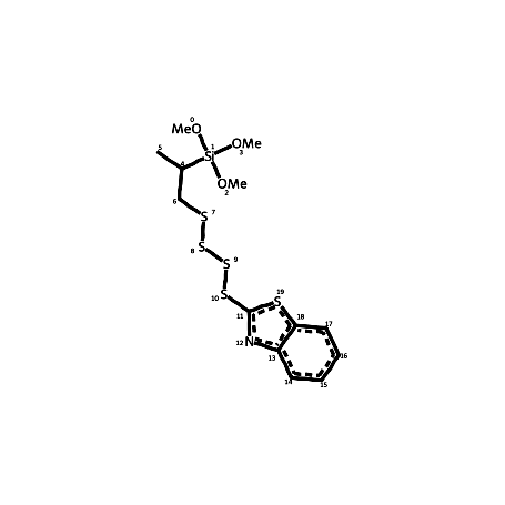 CO[Si](OC)(OC)C(C)CSSSSc1nc2ccccc2s1